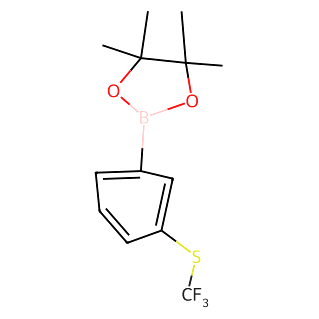 CC1(C)OB(c2cccc(SC(F)(F)F)c2)OC1(C)C